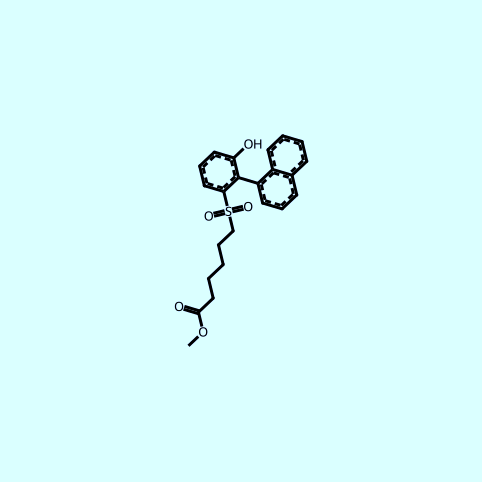 COC(=O)CCCCCS(=O)(=O)c1cccc(O)c1-c1cccc2ccccc12